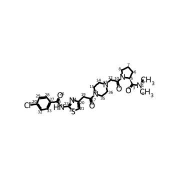 CN(C)C(=O)[C@@H]1CCCN1C(=O)CN1CCN(C(=O)Cc2csc(NC(=O)c3ccc(Cl)cc3)n2)CC1